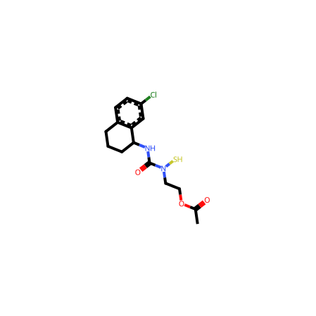 CC(=O)OCCN(S)C(=O)NC1CCCc2ccc(Cl)cc21